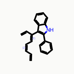 C=C/C=C\C=C(/C=C)c1c(-c2ccccc2)[nH]c2ccccc12